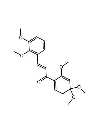 COC1=CC(OC)(OC)CC=C1C(=O)C=Cc1cccc(OC)c1OC